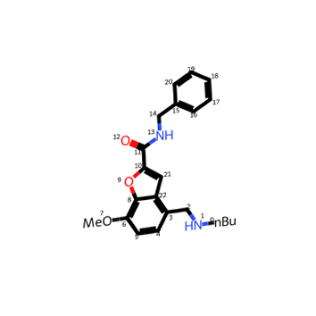 CCCCNCc1ccc(OC)c2oc(C(=O)NCc3ccccc3)cc12